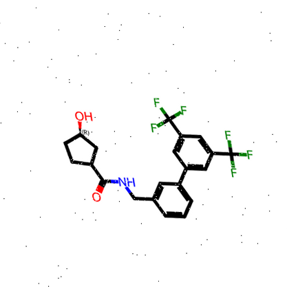 O=C(NCc1cccc(-c2cc(C(F)(F)F)cc(C(F)(F)F)c2)c1)C1CC[C@@H](O)C1